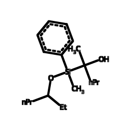 CCCC(CC)O[Si](C)(c1ccccc1)C(C)(O)CCC